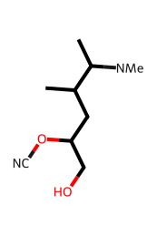 CNC(C)C(C)CC(CO)OC#N